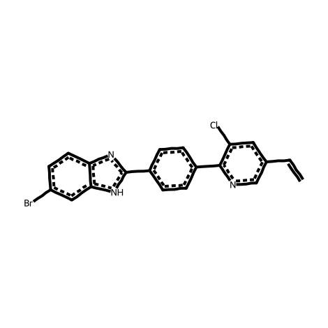 C=Cc1cnc(-c2ccc(-c3nc4ccc(Br)cc4[nH]3)cc2)c(Cl)c1